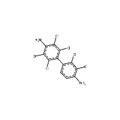 Nc1ccc(-c2c(Cl)c(Cl)c(N)c(Cl)c2Cl)c(Cl)c1Cl